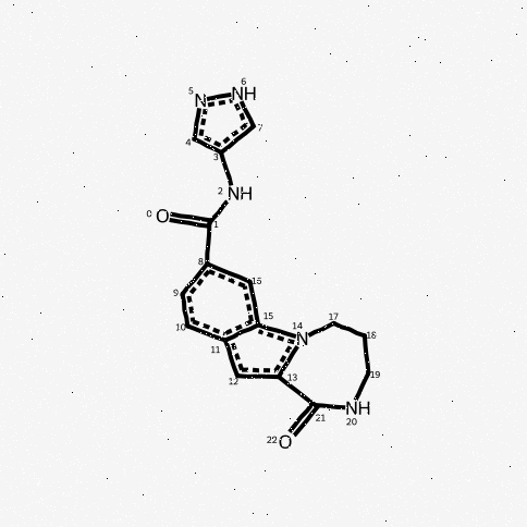 O=C(Nc1cn[nH]c1)c1ccc2cc3n(c2c1)CCCNC3=O